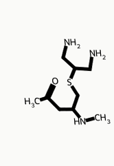 CNC(CSC(CN)CN)CC(C)=O